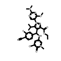 CCOC(=O)c1nn(-c2cnc(N(C)C)nc2OC)c(C(C)C)c1C(Nc1cc(Cl)c(=O)n(C)c1)c1ccc(C#N)c(F)c1